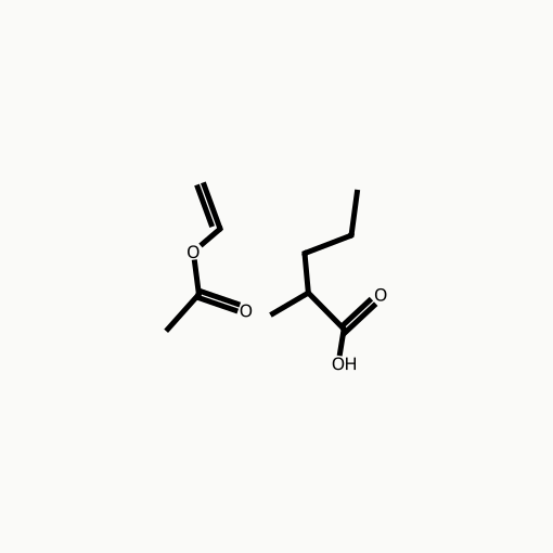 C=COC(C)=O.CCCC(C)C(=O)O